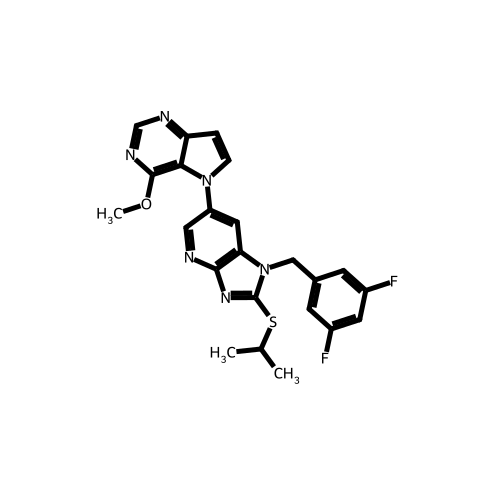 COc1ncnc2ccn(-c3cnc4nc(SC(C)C)n(Cc5cc(F)cc(F)c5)c4c3)c12